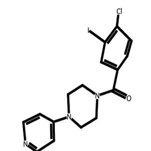 O=C(c1ccc(Cl)c(I)c1)N1CCN(c2ccncc2)CC1